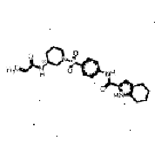 C=CC(=O)N[C@H]1CCCN(S(=O)(=O)c2ccc(NC(=O)c3cc4c([nH]3)CCCC4)cc2)C1